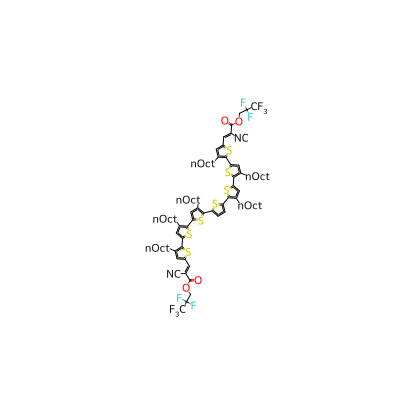 [C-]#[N+]/C(=C\c1cc(CCCCCCCC)c(-c2cc(CCCCCCCC)c(-c3cc(CCCCCCCC)c(-c4ccc(-c5sc(-c6sc(-c7sc(/C=C(\C#N)C(=O)OCC(F)(F)C(F)(F)F)cc7CCCCCCCC)cc6CCCCCCCC)cc5CCCCCCCC)s4)s3)s2)s1)C(=O)OCC(F)(F)C(F)(F)F